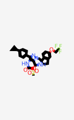 CS(=O)(=O)CC(=O)Nc1c(-c2ccc(C3CC3)cc2)nn2c1C(=O)N[C@]1(CCc3cc(OCC(F)(F)F)ccc31)C2